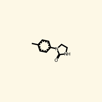 Cc1ccc(N2CCNC2=O)cc1